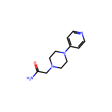 NC(=O)CN1CCN(c2ccncc2)CC1